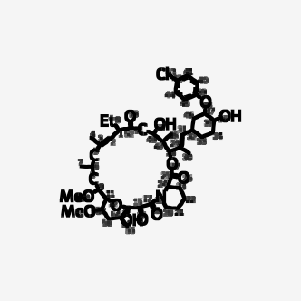 CCC1/C=C(\C)CC(C)CC(OC)C2OC(O)(C(=O)C(=O)N3CCCCC3C(=O)OC(C(C)=CC3CCC(O)C(Oc4ccc(Cl)cc4)C3)C(C)C(O)CC1=O)C(C)CC2OC